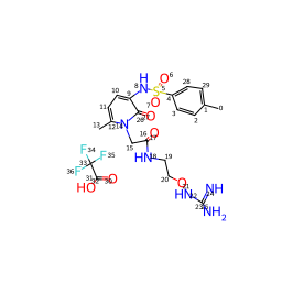 Cc1ccc(S(=O)(=O)Nc2ccc(C)n(CC(=O)NCCONC(=N)N)c2=O)cc1.O=C(O)C(F)(F)F